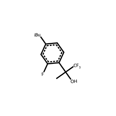 CCC(C)c1ccc(C(C)(O)C(F)(F)F)c(F)c1